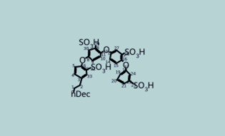 CCCCCCCCCCCCc1ccc(Oc2ccc(Oc3ccc(Oc4cccc(S(=O)(=O)O)c4)c(S(=O)(=O)O)c3)c(S(=O)(=O)O)c2)c(S(=O)(=O)O)c1